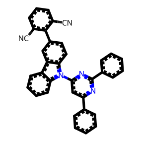 N#Cc1cccc(C#N)c1-c1ccc2c(c1)c1ccccc1n2-c1cc(-c2ccccc2)nc(-c2ccccc2)n1